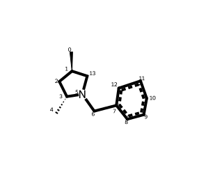 C[C@@H]1C[C@@H](C)N(Cc2ccccc2)C1